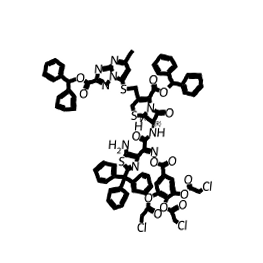 Cc1cc(SCC2=C(C(=O)OC(c3ccccc3)c3ccccc3)N3C(=O)[C@@H](NC(=O)C(=NOC(=O)c4cc(OC(=O)CCl)c(OC(=O)CCl)c(OC(=O)CCl)c4)c4nc(C(c5ccccc5)(c5ccccc5)c5ccccc5)sc4N)[C@H]3SC2)n2nc(C(=O)OC(c3ccccc3)c3ccccc3)nc2n1